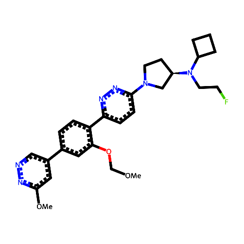 COCOc1cc(-c2cnnc(OC)c2)ccc1-c1ccc(N2CC[C@@H](N(CCF)C3CCC3)C2)nn1